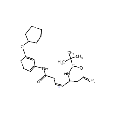 C=CCC(/C=C\CC(=O)NC1=CCCC(OC2CCCCC2)=C1)N[S+]([O-])C(C)(C)C